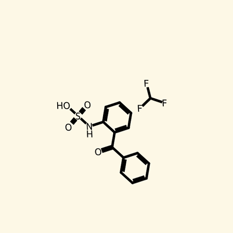 FC(F)F.O=C(c1ccccc1)c1ccccc1NS(=O)(=O)O